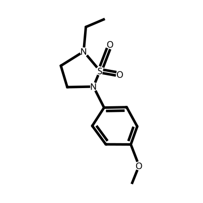 CCN1CCN(c2ccc(OC)cc2)S1(=O)=O